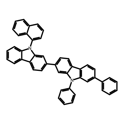 c1ccc(-c2ccc3c4ccc(-c5ccc6c7ccccc7n(-c7cccc8ccccc78)c6c5)cc4n(-c4ccccc4)c3c2)cc1